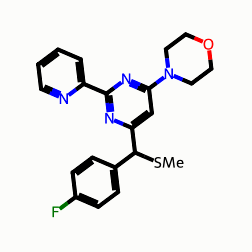 CSC(c1ccc(F)cc1)c1cc(N2CCOCC2)nc(-c2ccccn2)n1